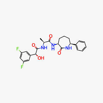 C[C@H](NC(=O)[C@@H](O)c1cc(F)cc(F)c1)C(=O)N[C@H]1CCC[C@@H](c2ccccc2)NC1=O